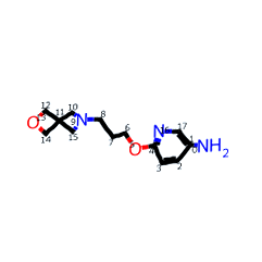 Nc1ccc(OCCCN2CC3(COC3)C2)nc1